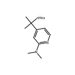 CCCCCCC(C)(C)c1ccnc(N(C)C)c1